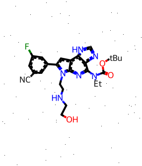 CCN(C(=O)OC(C)(C)C)c1nc2c(cc(-c3cc(F)cc(C#N)c3)n2CCNCCO)c2[nH]cnc12